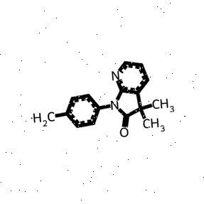 [CH2]c1ccc(N2C(=O)C(C)(C)c3cccnc32)cc1